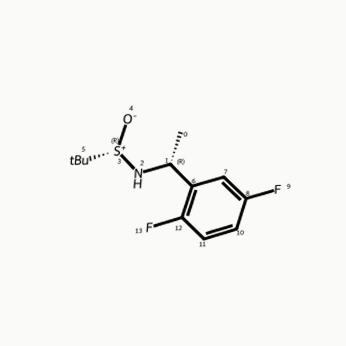 C[C@@H](N[S@@+]([O-])C(C)(C)C)c1cc(F)ccc1F